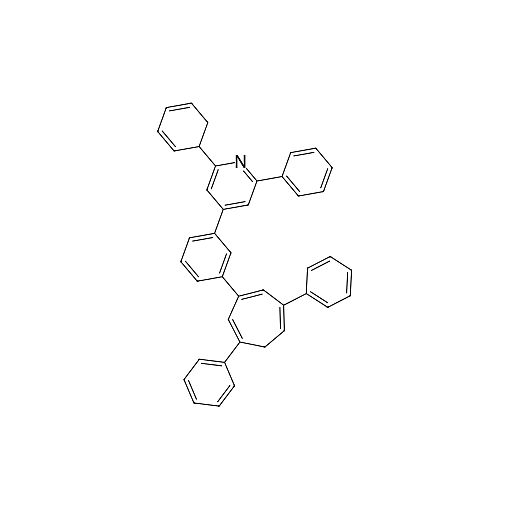 C1=CCC(c2cc(-c3cccc(C4=CC(c5ccccc5)=CCC(c5ccccc5)=C4)c3)cc(-c3ccccc3)n2)C=C1